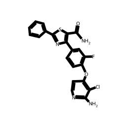 NC(=O)c1sc(-c2ccccc2)nc1-c1ccc(Oc2ccnc(N)c2Cl)c(F)c1